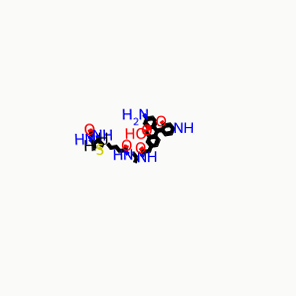 CC(CNC(=O)CCCC[C@@H]1SC[C@@H]2NC(=O)N[C@@H]21)NC(=O)Cc1ccc(-c2c3ccc(=N)cc-3oc3cc(N)ccc23)c(C(=O)O)c1